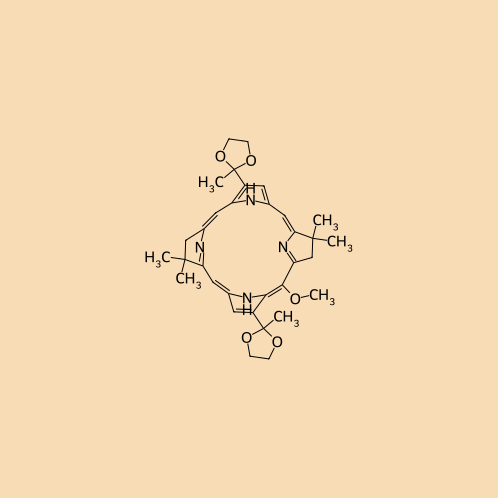 COc1c2nc(cc3cc(C4(C)OCCO4)c(cc4nc(cc5cc(C6(C)OCCO6)c1[nH]5)C(C)(C)C4)[nH]3)C(C)(C)C2